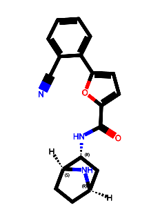 N#Cc1ccccc1-c1ccc(C(=O)N[C@@H]2C[C@H]3CC[C@@H]2N3)o1